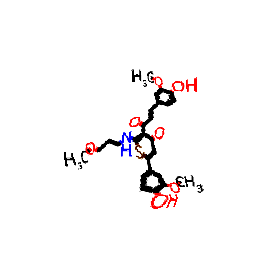 COCCCNC1=C(C(=O)C=Cc2ccc(O)c(OC)c2)C(=O)CC(c2ccc(O)c(OC)c2)S1